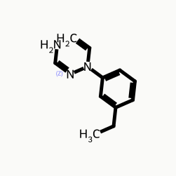 C=CN(/N=C\N)c1cccc(CC)c1